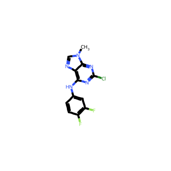 Cn1cnc2c(Nc3ccc(F)c(F)c3)nc(Cl)nc21